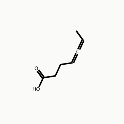 CC=C=CCCC(=O)O